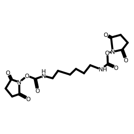 O=C(NCCCCCCNC(=O)ON1C(=O)CCC1=O)ON1C(=O)CCC1=O